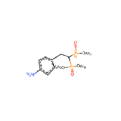 CO[PH](=O)C(Cc1ccc(N)cc1)P(=O)(OC)OC